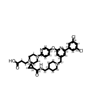 O=C(O)CCN1CCN(c2ccc(Oc3cc(CN4CCC(CNC(=O)C5CC5)CC4)cc(-c4cc(Cl)cc(Cl)c4)n3)cn2)CC1